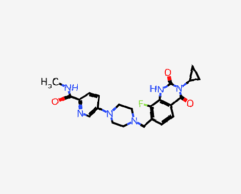 CNC(=O)c1ccc(N2CCN(Cc3ccc4c(=O)n(C5CC5)c(=O)[nH]c4c3F)CC2)cn1